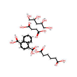 O=C(O)CCC(=O)O.O=C(O)CCCCC(=O)O.O=C(O)c1ccc(C(=O)O)c2ccccc12.OCC(O)CC(O)CO